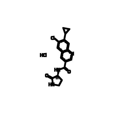 Cl.O=C(N[C@H]1CCNC1=O)c1cnc2cc(C3CC3)c(Cl)cc2c1